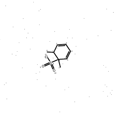 CC1C=CC=CC1(C)S(=O)(=O)Cl